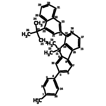 Cc1ccc(-c2ccc3c(c2)[Si](C)(C)c2c-3ccnc2-c2cc(C(C)(C)C)c3ccccc3c2)cc1